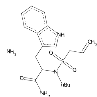 C=CCS(=O)(=O)N(CCCC)C(Cc1c[nH]c2ccccc12)C(N)=O.N